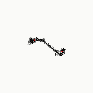 CC(=O)c1c(C)c2cnc(Nc3ccc(N4CCN(C(=O)CCOCCOCCOCCOCCOCCOCCNc5ccc(C)c(C(=O)Nc6nc(C)c(C)s6)c5)CC4)cn3)nc2n(C2CCCC2)c1=O